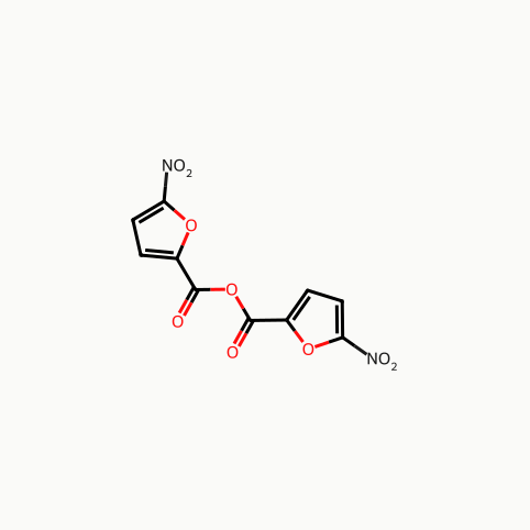 O=C(OC(=O)c1ccc([N+](=O)[O-])o1)c1ccc([N+](=O)[O-])o1